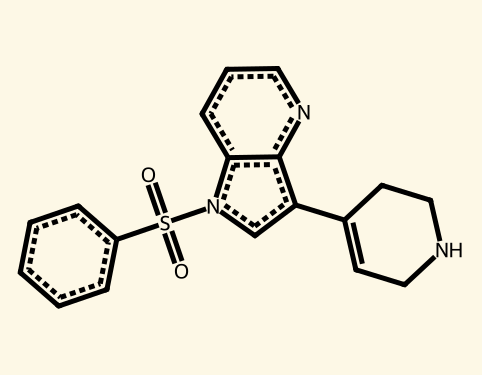 O=S(=O)(c1ccccc1)n1cc(C2=CCNCC2)c2ncccc21